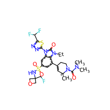 CCn1c(=O)n(-c2nnc(C(F)F)s2)c2cc(S(=O)(=O)NC3(CF)COC3)cc(C3=C[C@@H](C)N(C(=O)N(C)C)CC3)c21